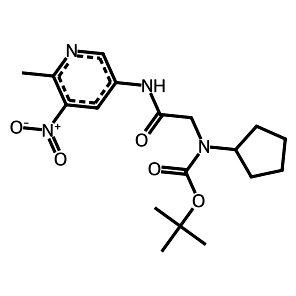 Cc1ncc(NC(=O)CN(C(=O)OC(C)(C)C)C2CCCC2)cc1[N+](=O)[O-]